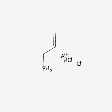 C=CCP.Cl.[Al+].[Cl-]